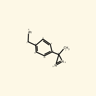 CC(C)Cc1ccc(C2(C)N=N2)cc1